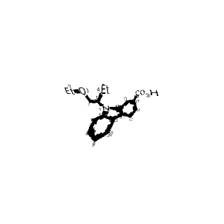 CCOCC(CC)n1c2ccccc2c2ccc(C(=O)O)cc21